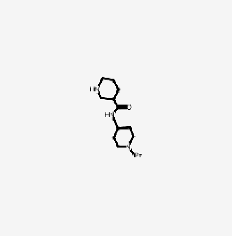 CC(C)N1CCC(NC(=O)C2CCCNC2)CC1